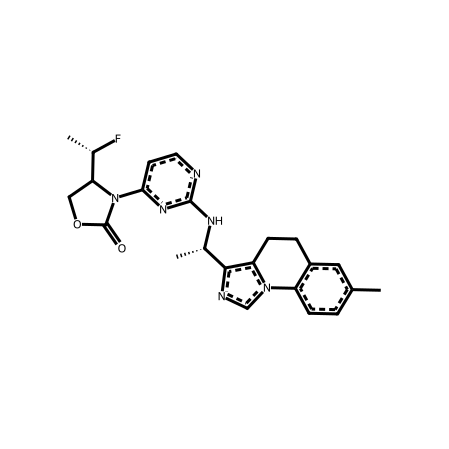 Cc1ccc2c(c1)CCc1c([C@H](C)Nc3nccc(N4C(=O)OCC4[C@H](C)F)n3)ncn1-2